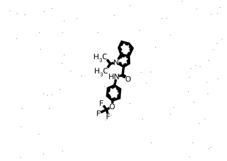 CC(C)n1c(C(=O)Nc2ccc(OC(F)(F)F)cc2)cc2ccccc21